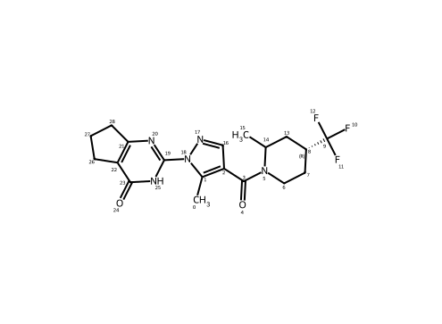 Cc1c(C(=O)N2CC[C@@H](C(F)(F)F)CC2C)cnn1-c1nc2c(c(=O)[nH]1)CCC2